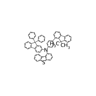 CC1(C)c2ccccc2-c2cccc(-c3ccc(N(c4ccc5c(c4)C(c4ccccc4)(c4ccccc4)c4ccccc4-5)c4cccc5sc6ccccc6c45)cc3)c21